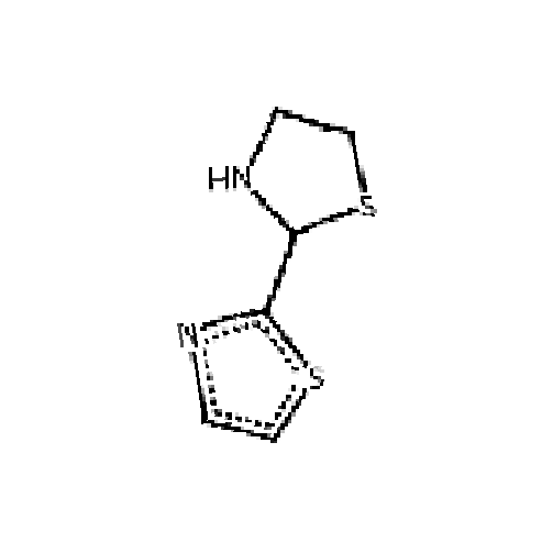 c1csc(C2NCCS2)n1